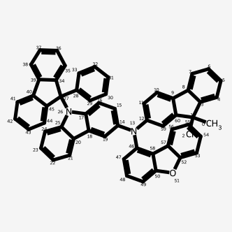 CC1(C)c2ccccc2-c2ccc(N(c3ccc4c(c3)c3ccccc3n4C3(c4ccccc4)c4ccccc4-c4ccccc43)c3cccc4oc5ccccc5c34)cc21